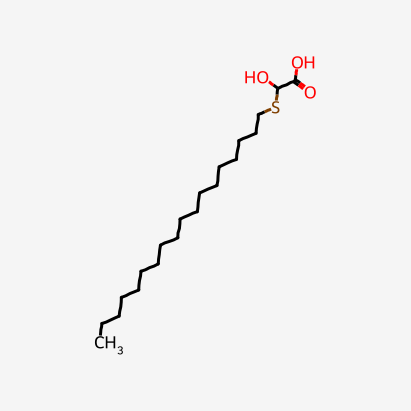 CCCCCCCCCCCCCCCCCCSC(O)C(=O)O